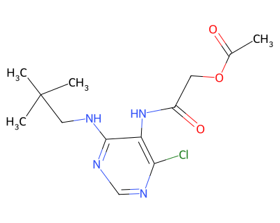 CC(=O)OCC(=O)Nc1c(Cl)ncnc1NCC(C)(C)C